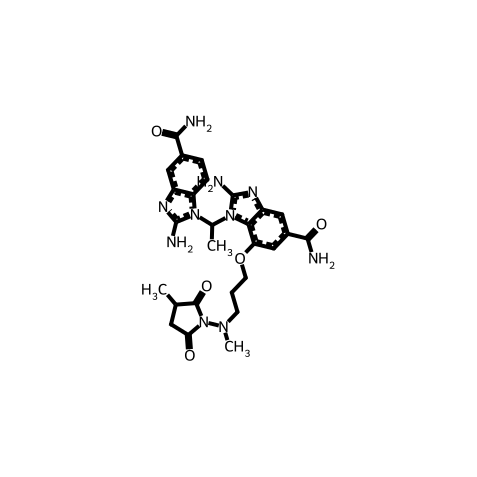 CC1CC(=O)N(N(C)CCCOc2cc(C(N)=O)cc3nc(N)n(C(C)n4c(N)nc5cc(C(N)=O)ccc54)c23)C1=O